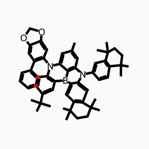 Cc1cc2c3c(c1)N(c1cc4c(cc1-c1ccccc1)OCO4)c1ccc(C(C)(C)C)cc1B3c1cc3c(cc1N2c1ccc2c(c1)C(C)(C)CCC2(C)C)C(C)(C)CCC3(C)C